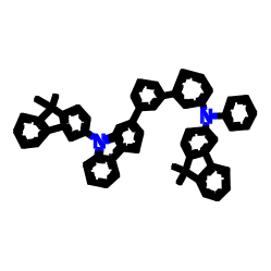 CC1(C)c2ccccc2-c2cc(N(c3ccccc3)c3cccc(-c4cccc(-c5ccc6c7ccccc7n(-c7ccc8c(c7)-c7ccccc7C8(C)C)c6c5)c4)c3)ccc21